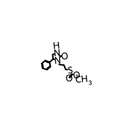 COC(=O)SCCCN1C(=O)NCC1c1ccccc1